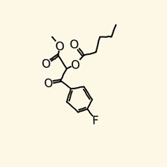 CCCCC(=O)OC(C(=O)OC)C(=O)c1ccc(F)cc1